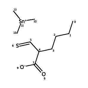 CCCCC(C=S)C(=O)[O-].[CH3][Sn+]([CH3])[CH3]